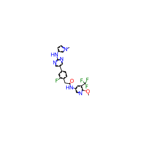 COc1ncc(NC(=O)Cc2ccc(-c3cnc(Nc4ccn(C)c4)nc3)cc2F)cc1C(F)(F)F